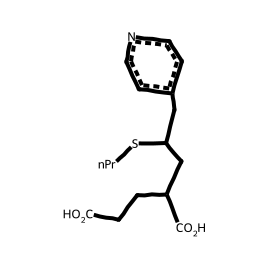 CCCSC(Cc1ccncc1)CC(CCC(=O)O)C(=O)O